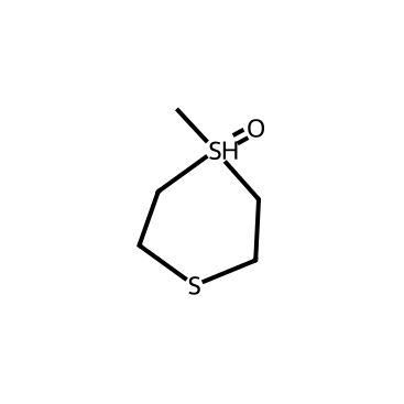 C[SH]1(=O)CCSCC1